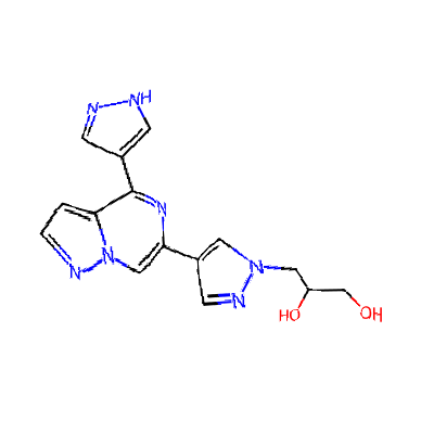 OCC(O)Cn1cc(-c2cn3nccc3c(-c3cn[nH]c3)n2)cn1